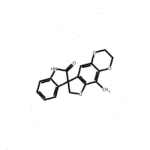 Cc1c2c(cc3c1OCC31C(=O)Nc3ccccc31)OCCO2